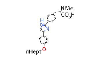 CCCCCCCOc1ccc(-c2c[nH]c(-c3ccc(C[C@H](NC)C(=O)O)cc3)n2)cc1